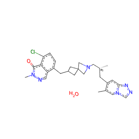 Cc1cn2cnnc2cc1C[C@@H](C)CN1CC2(CC(Cc3ccc(Cl)c4c(=O)n(C)ncc34)C2)C1.O